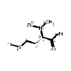 CC(C)C(=O)[C@H](CCSI)N(C)C(C)C